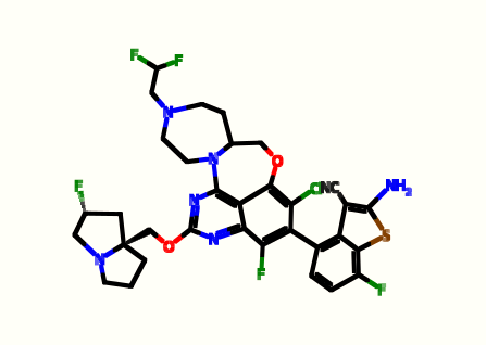 N#Cc1c(N)sc2c(F)ccc(-c3c(Cl)c4c5c(nc(OC[C@@]67CCCN6C[C@H](F)C7)nc5c3F)N3CCN(CC(F)F)CCC3CO4)c12